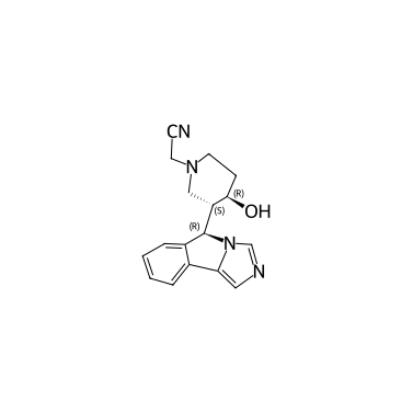 N#CCN1CC[C@@H](O)[C@H]([C@@H]2c3ccccc3-c3cncn32)C1